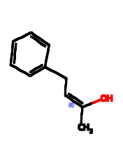 C/C(O)=C/Cc1ccccc1